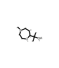 CN1CCOC(C(C)(C)O)CC1